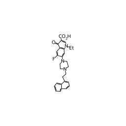 CCn1cc(C(=O)O)c(=O)c2cc(F)c(N3CCN(CCc4cccc5ccccc45)CC3)cc21